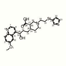 COc1ccc2nccc([C@H](O)CC[C@@H]3CCN(CCSc4ccsc4)C[C@@H]3C(=O)O)c2c1